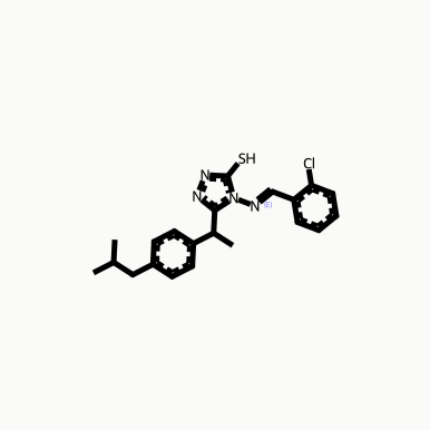 CC(C)Cc1ccc(C(C)c2nnc(S)n2/N=C/c2ccccc2Cl)cc1